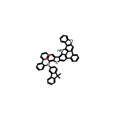 CC1(C)c2ccccc2-c2cc(N(c3ccccc3-c3ccccc3)c3cccc4c3sc3cc5c6ccccc6c6cc7oc8ccccc8c7c7[nH]c(c34)c5c67)ccc21